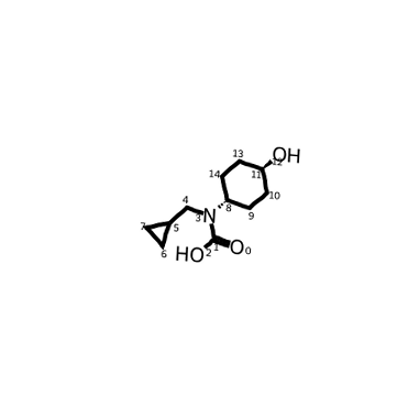 O=C(O)N(CC1CC1)[C@H]1CC[C@H](O)CC1